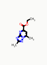 CCOC(=O)c1cc(C)n2nc(C)nc2n1